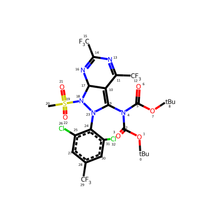 CC(C)(C)OC(=O)N(C(=O)OC(C)(C)C)C1=C2C(C(F)(F)F)=NC(C(F)(F)F)=NC2N(S(C)(=O)=O)N1c1c(Cl)cc(C(F)(F)F)cc1Cl